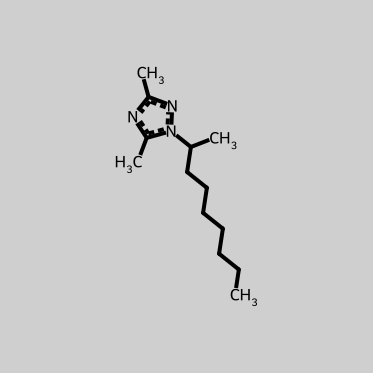 CCCCCCCC(C)n1nc(C)nc1C